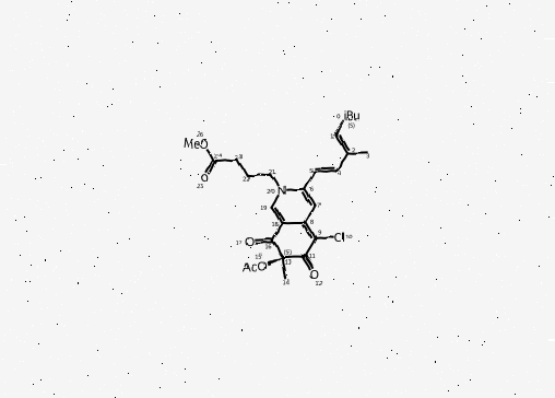 CC[C@H](C)C=C(C)C=CC1=CC2=C(Cl)C(=O)[C@@](C)(OC(C)=O)C(=O)C2=CN1CCCC(=O)OC